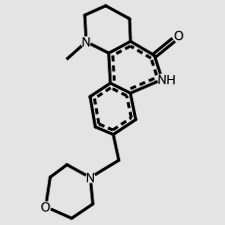 CN1CCCc2c1c1ccc(CN3CCOCC3)cc1[nH]c2=O